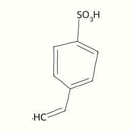 [CH]=Cc1ccc(S(=O)(=O)O)cc1